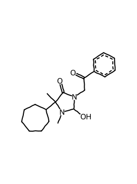 CN1C(O)N(CC(=O)c2ccccc2)C(=O)C1(C)C1CCCCCC1